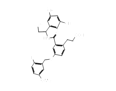 COc1ccc(F)c(COc2ccc(CCC(=O)O)c(C(=O)NC(CC(C)C)c3cc(C)cc(C)c3)c2)c1